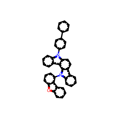 c1ccc(-c2ccc(-n3c4ccccc4c4c3ccc3c5ccccc5n(-c5cccc6oc7ccccc7c56)c34)cc2)cc1